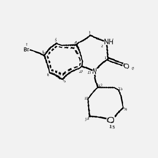 O=C1NCc2cc(Br)ccc2N1C1CCOCC1